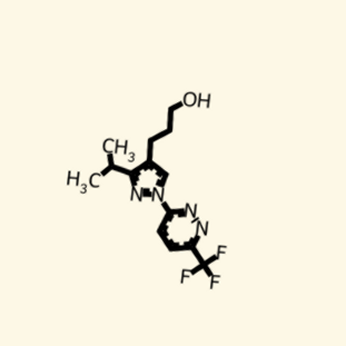 CC(C)c1nn(-c2ccc(C(F)(F)F)nn2)cc1CCCO